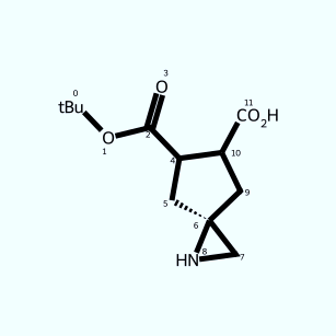 CC(C)(C)OC(=O)C1C[C@@]2(CN2)CC1C(=O)O